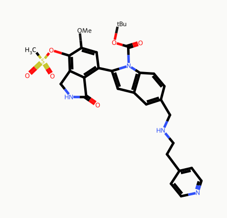 COc1cc(-c2cc3cc(CNCCc4ccncc4)ccc3n2C(=O)OC(C)(C)C)c2c(c1OS(C)(=O)=O)CNC2=O